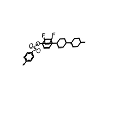 Cc1ccc(S(=O)(=O)OC23CCC(C4CCC(C5CCC(C)CC5)CC4)(CC2)C(F)=C3F)cc1